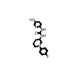 O=C(Nc1ccc(O)cn1)NC1CCCN(c2ccc(F)cc2)C1